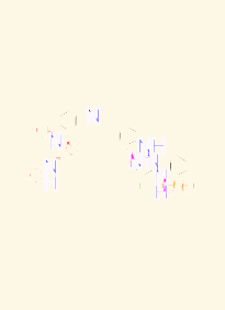 Cc1cc(Nc2ncc(Cl)c(Nc3ccccc3S(=O)(=O)C(C)C)n2)c(OC(C)C)cc1C1CCN(Cc2ccc3c(c2)C(=O)N(C2CCC(=O)NC2=O)C3=O)CC1